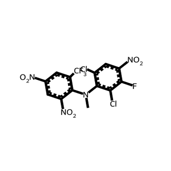 CN(c1c([N+](=O)[O-])cc([N+](=O)[O-])cc1C(F)(F)F)c1c(Cl)cc([N+](=O)[O-])c(F)c1Cl